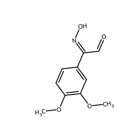 COc1ccc(C(C=O)=NO)cc1OC